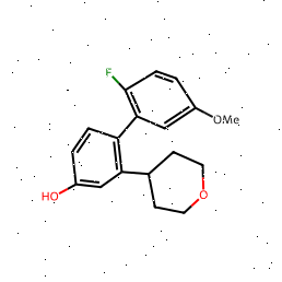 COc1ccc(F)c(-c2ccc(O)cc2C2CCOCC2)c1